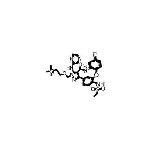 CCS(=O)(=O)Nc1ccc(-c2nn(COCC[Si](C)(C)C)c(Nc3cnccn3)c2C(N)=O)cc1Oc1ccc(F)cc1